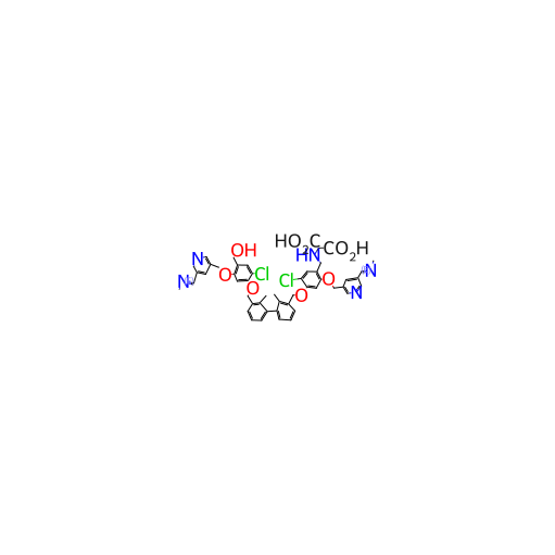 C/N=C/c1cncc(COc2cc(OCc3cccc(-c4cccc(COc5cc(OCc6cncc(/C=N/C)c6)c(CNC(C(=O)O)C(=O)O)cc5Cl)c4C)c3C)c(Cl)cc2CO)c1